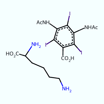 CC(=O)Nc1c(I)c(NC(C)=O)c(I)c(C(=O)O)c1I.NCCCCC(N)C(=O)O